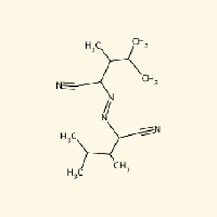 CC(C)C(C)C(C#N)/N=N/C(C#N)C(C)C(C)C